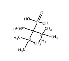 CCCCCCCC([Si](C)(C)C)([Si](C)(C)C)P(=O)(O)O